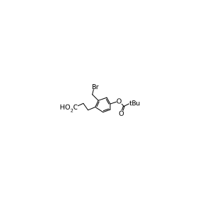 CC(C)(C)C(=O)Oc1ccc(CCC(=O)O)c(CBr)c1